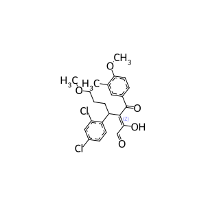 COCCCC(/C(C(=O)c1ccc(OC)c(C)c1)=C(/O)C=O)c1ccc(Cl)cc1Cl